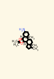 CC1CCC2C3C(CC[C@]12C)[C@@]1(C)CC[C@H](N)CC1[C@H]1OC(C)(C)O[C@H]31